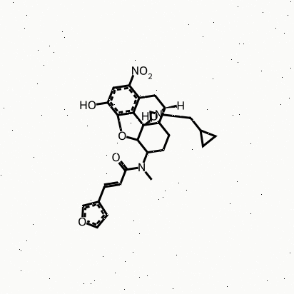 CN(C(=O)/C=C/c1ccoc1)C1CC[C@@]2(O)[C@H]3Cc4c([N+](=O)[O-])cc(O)c5c4[C@@]2(CCN3CC2CC2)C1O5